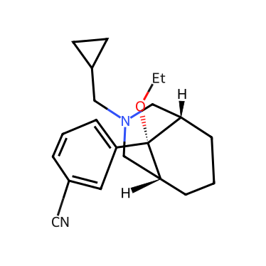 CCO[C@@]1(c2cccc(C#N)c2)[C@@H]2CCC[C@H]1CN(CC1CC1)C2